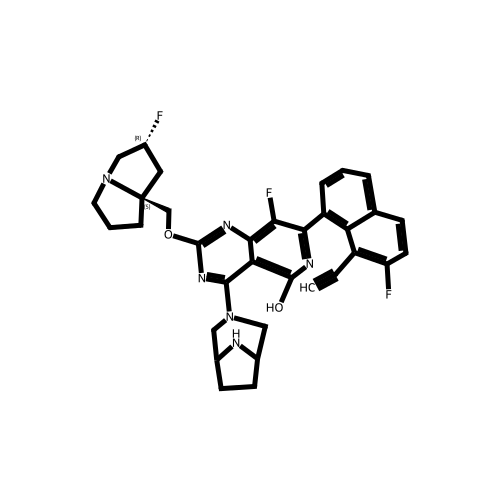 C#Cc1c(F)ccc2cccc(-c3nc(O)c4c(N5CC6CCC(C5)N6)nc(OC[C@@]56CCCN5C[C@H](F)C6)nc4c3F)c12